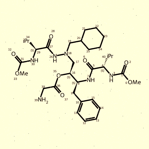 COC(=O)N[C@H](C(=O)N[C@@H](Cc1ccccc1)[C@H](CN(CC1CCCCC1)NC(=O)[C@@H](NC(=O)OC)C(C)C)OC(=O)CN)C(C)C